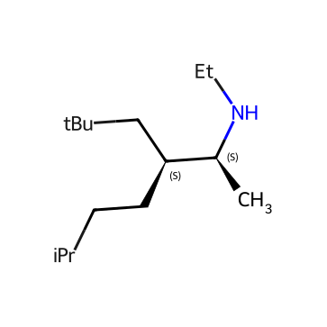 CCN[C@@H](C)[C@@H](CCC(C)C)CC(C)(C)C